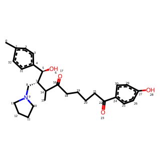 Cc1ccc([C@@H](O)[C@@H](CN2CCCC2)C(C)C(=O)CCCCC(=O)c2ccc(O)cc2)cc1